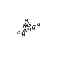 CN(C)Cc1cncc(-c2cnc3[nH]nc(-c4cc5c(C6=CCC=C6)cncc5[nH]4)c3c2)c1